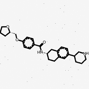 O=C(N[C@H]1CCc2cc(C3CCCNC3)ccc2C1)c1ccc(OC[C@@H]2CCCO2)cc1